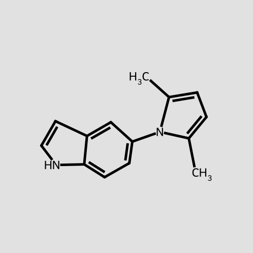 Cc1ccc(C)n1-c1ccc2[nH]ccc2c1